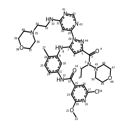 CCN(C(=O)c1cc(Nc2cc(NC(=O)c3cc(Cl)nc(OC)c3)ccc2C)n(-c2cc(NCCN3CCOCC3)ncn2)n1)N1CCOCC1